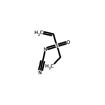 C=CS(=O)(CC)=NC#N